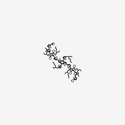 CCCCC(CC)Cc1ccc(-c2c3cc(-c4ccc(C5=C6C(=O)N(CC(CC)CCCC)C(c7ccc(-c8ccc(OC)s8)s7)=C6C(=O)N5CC(CC)CCCC)s4)sc3c(-c3ccc(CC(CC)CCCC)s3)c3cc(-c4ccc(C5=C6C(=O)N(CC(CC)CCCC)C(c7ccc(-c8ccc(C=O)s8)s7)=C6C(=O)N5CC(CC)CCCC)s4)sc23)s1